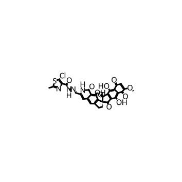 COC1=CC(=O)c2c(O)c3c(c(O)c2C1=O)C(=O)[C@]1(CCc2cc4cc(/C=N/NC(=O)c5nc(C)sc5Cl)[nH]c(=O)c4c(O)c21)C3=O